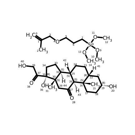 C=C(C)COCCC[Si](OC)(OC)OC.C[C@]12CC[C@@H](O)C[C@H]1CC[C@@H]1[C@@H]2C(=O)C[C@@]2(C)[C@H]1CC[C@]2(O)C(=O)CO